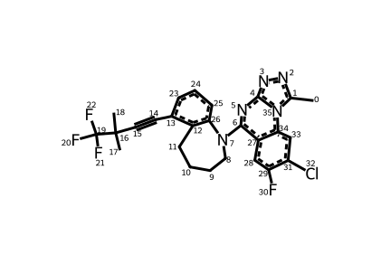 Cc1nnc2nc(N3CCCCc4c(C#CC(C)(C)C(F)(F)F)cccc43)c3cc(F)c(Cl)cc3n12